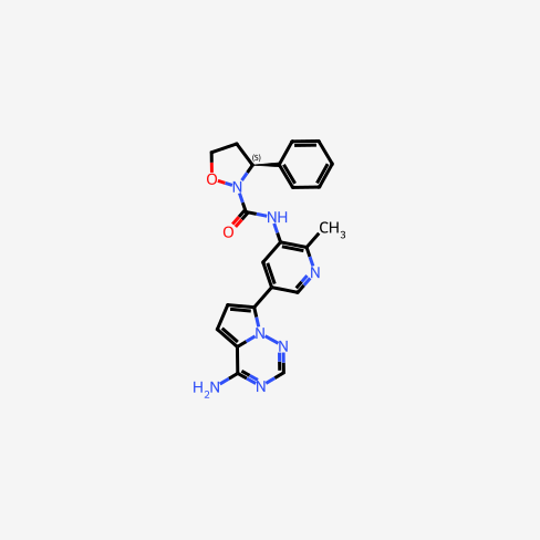 Cc1ncc(-c2ccc3c(N)ncnn23)cc1NC(=O)N1OCC[C@H]1c1ccccc1